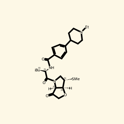 CC[C@H](C)[C@H](NC(=O)c1ccc(C2CCN(CC)CC2)cc1)C(=O)N1C[C@H](SC)[C@H]2OCC(=O)[C@H]21